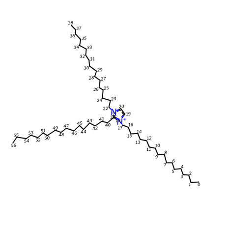 CCCCCCCCCCCCCCCCCC[n+]1ccn(CCCCCCCCCCCCCCCCC)c1CCCCCCCCCCCCCCCCC